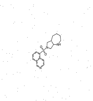 O=S(=O)(c1cccc2cnccc12)N1CC2CCCCNC2C1